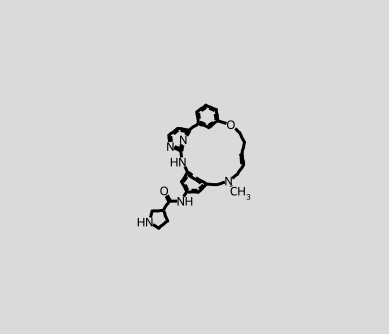 CN1C/C=C/CCOc2cccc(c2)-c2ccnc(n2)Nc2cc(cc(NC(=O)C3CCNC3)c2)C1